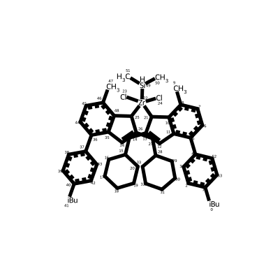 CCC(C)c1ccc(-c2ccc(C)c3c2C=C(CC2CCCCC2)[CH]3[Zr]([Cl])([Cl])([CH]2C(CC3CCCCC3)=Cc3c(-c4ccc(C(C)CC)cc4)ccc(C)c32)[SiH](C)C)cc1